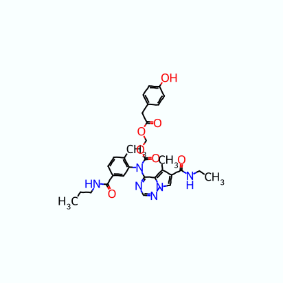 CCCNC(=O)c1ccc(C)c(N(C(=O)OCOC(=O)Cc2ccc(O)cc2)c2ncnn3cc(C(=O)NCC)c(C)c23)c1